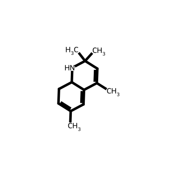 CC1=CCC2NC(C)(C)C=C(C)C2=C1